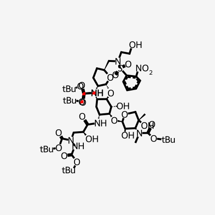 CN(C(=O)OC(C)(C)C)[C@@H]1[C@@H](O)[C@@H](O[C@@H]2[C@@H](O)[C@H](O[C@H]3O[C@H](CN(CCO)S(=O)(=O)c4ccccc4[N+](=O)[O-])CC[C@H]3NC(=O)OC(C)(C)C)[C@@H](NC(=O)OC(C)(C)C)C[C@H]2NC(=O)[C@@H](O)CN(NC(=O)OC(C)(C)C)C(=O)OC(C)(C)C)OC[C@]1(C)O